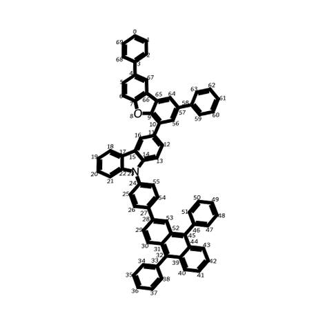 c1ccc(-c2ccc3oc4c(-c5ccc6c(c5)c5ccccc5n6-c5ccc(-c6ccc7c(-c8ccccc8)c8ccccc8c(-c8ccccc8)c7c6)cc5)cc(-c5ccccc5)cc4c3c2)cc1